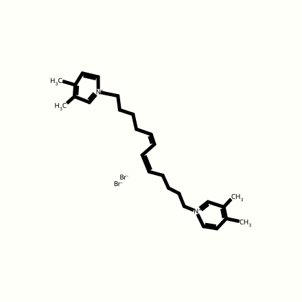 Cc1cc[n+](CCCC/C=C\C=C/CCCC[n+]2ccc(C)c(C)c2)cc1C.[Br-].[Br-]